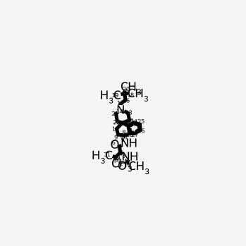 CC(=O)NC(C(=O)N[C@@H]1CCC2(CCN(CCC(C)(C)C)CC2)c2ccccc21)C(C)C